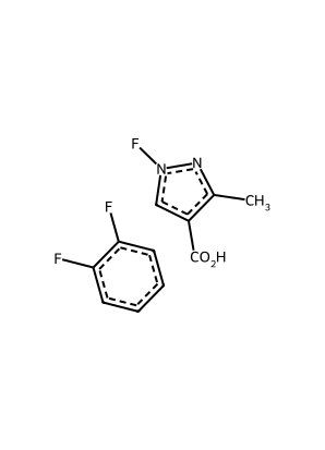 Cc1nn(F)cc1C(=O)O.Fc1ccccc1F